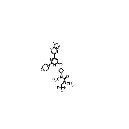 CN(CC(F)(F)F)C(=O)N(C)[C@H]1C[C@H](Oc2cc(-c3cnc(N)nc3)nc(N3CCOCC3)n2)C1